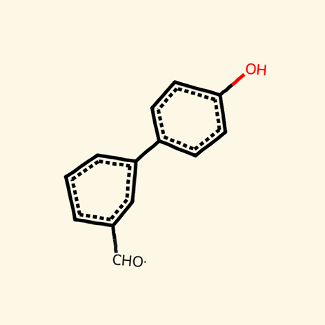 O=[C]c1cccc(-c2ccc(O)cc2)c1